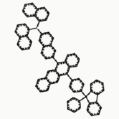 c1ccc(C2(c3ccc(-c4c5ccccc5c(-c5ccc6cc(N(c7cccc8ccccc78)c7cccc8ccccc78)ccc6c5)c5cc6ccccc6cc45)cc3)c3ccccc3-c3ccccc32)cc1